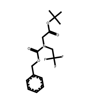 CC(C)(C)OC(=O)CN(CC(F)(F)F)C(=O)OCc1ccccc1